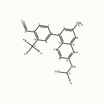 Cc1cc(-c2ccc(C=O)c(C(F)(F)F)c2)c2ncc(OC(F)F)nc2c1